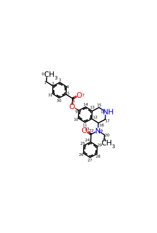 CCc1ccc(C(=O)Oc2ccc3c(c2)CNCC3N(CC)C(=O)c2ccccc2)cc1